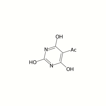 CC(=O)c1c(O)nc(O)nc1O